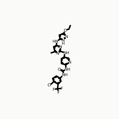 CCOc1cc(Nc2cc(C)nc(Nc3ccc(NC(=O)Nc4ccc(Cl)c(C(F)(F)F)c4)nc3)n2)[nH]n1